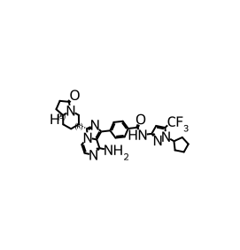 Nc1nccn2c([C@@H]3CC[C@H]4CCC(=O)N4C3)nc(-c3ccc(C(=O)Nc4cc(C(F)(F)F)n(C5CCCC5)n4)cc3)c12